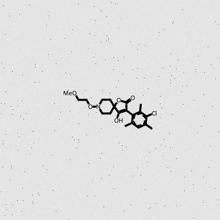 COCCON1CCC2(CC1)OC(=O)C(c1c(C)cc(C)c(Cl)c1C)=C2O